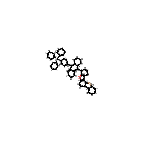 c1ccc([Si](c2ccccc2)(c2ccccc2)c2ccc(-c3c4ccccc4c(-c4cccc5c4oc4ccc6c7ccccc7sc6c45)c4ccccc34)cc2)cc1